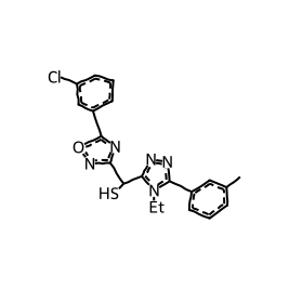 CCn1c(-c2cccc(C)c2)nnc1C(S)c1noc(-c2cccc(Cl)c2)n1